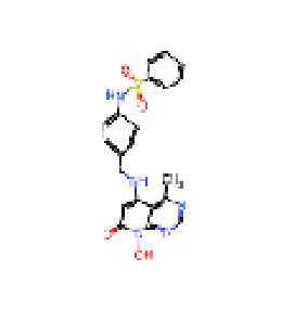 Cc1ncnc2c1c(NCc1ccc(NS(=O)(=O)c3ccccc3)cc1)cc(=O)n2O